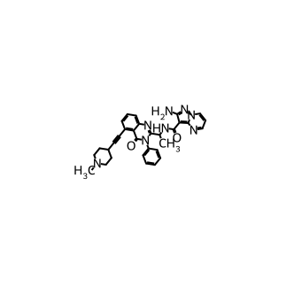 CC(NC(=O)c1c(N)nn2cccnc12)c1nc2cccc(C#CC3CCN(C)CC3)c2c(=O)n1-c1ccccc1